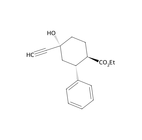 C#C[C@@]1(O)CC[C@@H](C(=O)OCC)[C@H](c2ccccc2)C1